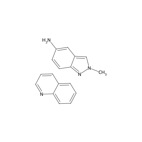 Cn1cc2cc(N)ccc2n1.c1ccc2ncccc2c1